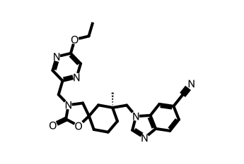 CCOc1cnc(CN2CC3(CCC[C@](C)(Cn4cnc5ccc(C#N)cc54)C3)OC2=O)cn1